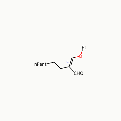 CCCCCCC/C(C=O)=C/OCC